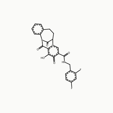 O=C(NCc1ccc(F)cc1F)c1cn2c(c(O)c1=O)C(=O)N1C(=O)C2CCc2ccccc21